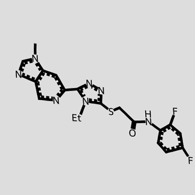 CCn1c(SCC(=O)Nc2ccc(F)cc2F)nnc1-c1cc2c(cn1)ncn2C